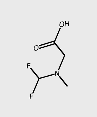 CN(CC(=O)O)C(F)F